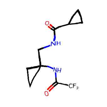 O=C(NCC1(NC(=O)C(F)(F)F)CC1)C1CC1